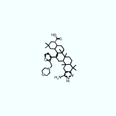 CC1(C)CC2C3=C(c4ccoc4CN4CCOCC4)CC4C5(C)Cc6c(n[nH]c6N)C(C)(C)C5CCC4(C)C3(C)CCC2[C@H](C(=O)O)C1